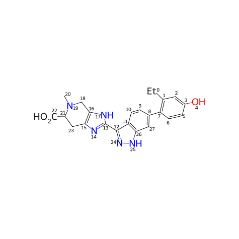 CCc1cc(O)ccc1-c1ccc2c(-c3nc4c([nH]3)CN(C)C(C(=O)O)C4)n[nH]c2c1